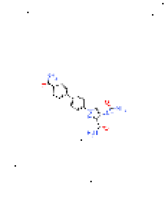 NC(=O)Nc1cn(-c2ccc(-c3ccc(C(N)=O)cc3)cc2)nc1C(N)=O